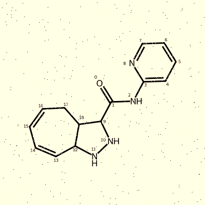 O=C(Nc1ccccn1)C1NNC2C=CC=CCC21